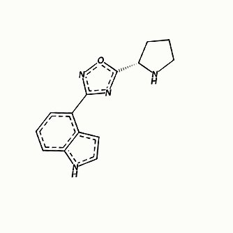 c1cc(-c2noc([C@@H]3CCCN3)n2)c2cc[nH]c2c1